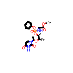 CCC(OC(C)n1ccc(=O)[nH]c1=O)[C@H](C)OP(=O)(NCC(=O)OC(C)C)Oc1ccccc1